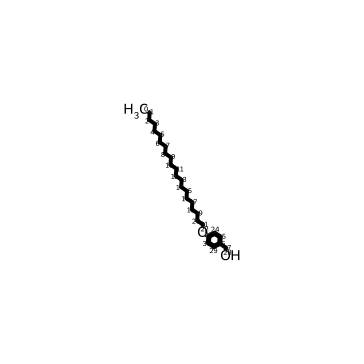 CCCCCCCCCCCCCCCCCCCCCCOc1ccc(CO)cc1